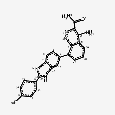 NC(=O)c1nnc2c(-c3ccc4nc(-c5ccc(F)cc5)[nH]c4c3)cccc2c1N